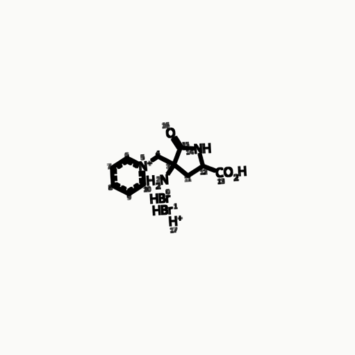 Br.Br.NC1(C[n+]2ccccc2)CC(C(=O)O)NC1=O.[H+]